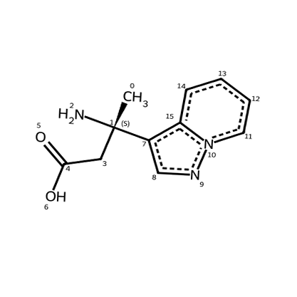 C[C@](N)(CC(=O)O)c1cnn2ccccc12